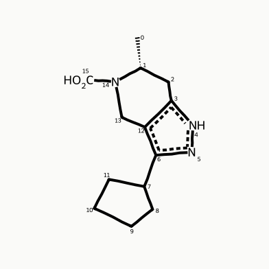 C[C@@H]1Cc2[nH]nc(C3CCCC3)c2CN1C(=O)O